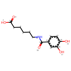 O=C(O)CCCCCNC(=O)c1ccc(O)c(O)c1